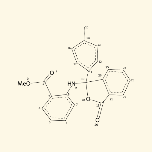 COC(=O)c1ccccc1NC1(c2ccc(C)cc2)OC(=O)c2ccccc21